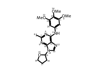 COc1cc(Nc2nc(I)nc3c2ncn3C2CCCO2)cc(OC)c1OC